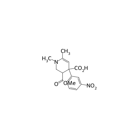 COC(=O)C1CN(C)C(C)=CC1(C(=O)O)c1cccc([N+](=O)[O-])c1